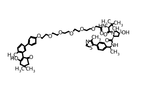 Cc1ccc(-c2ccc(OCCOCCOCCOCCOCCOCC(=O)N[C@H](C(=O)N3C[C@H](O)C[C@H]3C(=O)N[C@@H](C)c3ccc(-c4scnc4C)cc3)C(C)(C)C)cc2)cc1C1=C(O)CC(C)(C)CC1=O